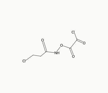 O=C(CCCl)NOC(=O)C(=O)Cl